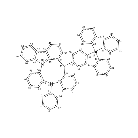 c1ccc(N2c3ccccc3N(c3ccc([Si](c4ccccc4)(c4ccccc4)c4ccccc4)cc3)c3cccc4c5ccccc5n(c34)-c3ccccc32)cc1